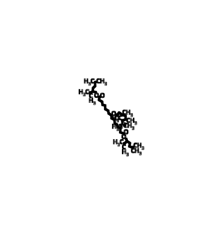 CC(C)CCC(COC(=O)CCCCCCCC(CCCCCCCC(=O)OCC(CCC(C)C)C(C)C)OC(=O)CC(C)(C)CC(C)CN(C)C)C(C)C